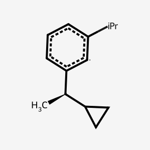 CC(C)c1[c]c([C@H](C)C2CC2)ccc1